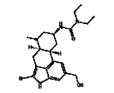 CCN(CC)C(=O)N[C@H]1C[C@@H]2c3cc(CO)cc4[nH]c(Br)c(c34)C[C@H]2N(C)C1